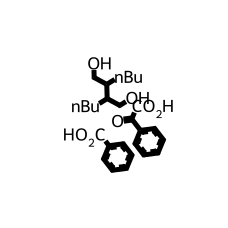 CCCCC(CO)C(CO)CCCC.O=C(O)C(=O)c1ccccc1.O=C(O)c1ccccc1